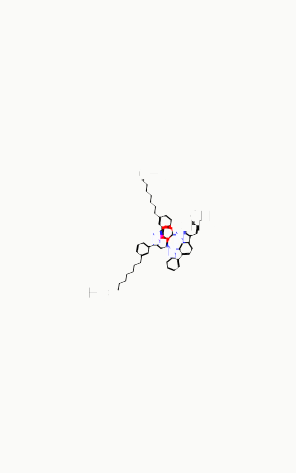 C=C/C=C\c1c(C)n(C2=CCCC=C2)c2c1ccc1c3ccccc3n(-c3cc(-c4cccc(CCCCCCCC)c4)nc(-c4cccc(CCCCCCCC)c4)c3)c12